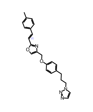 Cc1ccc(/C=C/c2nc(COc3ccc(CCCn4ccnn4)cc3)co2)cc1